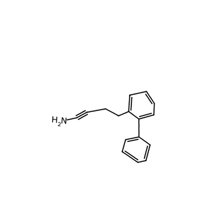 NC#CCCc1ccccc1-c1ccccc1